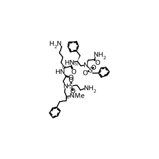 CN[C@@H](CCc1ccccc1)CN(CC(=O)N[C@@H](CCCCN)C(=O)N[C@@H](Cc1ccccc1)CN(CC(N)=O)S(=O)(=O)Cc1ccccc1)S(=O)(=O)CCN